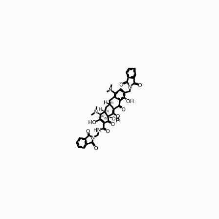 CN(C)c1cc(CN2C(=O)c3ccccc3C2=O)c(O)c2c1C[C@H]1C[C@H]3[C@H](N(C)C)C(O)=C(C(=O)NCN4C(=O)c5ccccc5C4=O)C(=O)[C@@]3(O)C(O)=C1C2=O